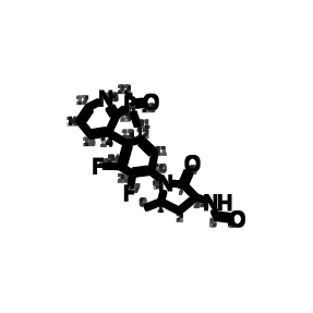 CC1CC(NC=O)C(=O)N1c1ccc(-c2cccnc2P(C)(C)=O)c(F)c1F